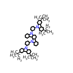 CC(C)(C)c1ccc2c(c1)c1cc(C(C)(C)C)ccc1n2-c1cccc(-n2c3ccccc3c3c2ccc2c4ccccc4n(-c4cccc(-n5c6ccc(C(C)(C)C)cc6c6cc(C(C)(C)C)ccc65)c4)c23)c1